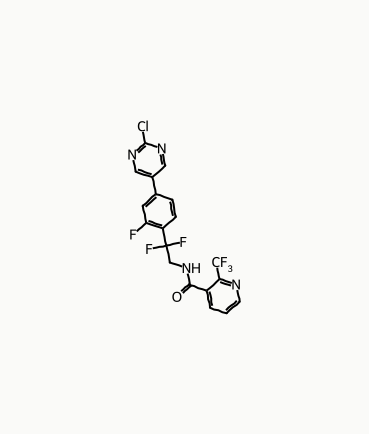 O=C(NCC(F)(F)c1ccc(-c2cnc(Cl)nc2)cc1F)c1cccnc1C(F)(F)F